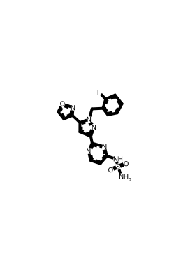 NS(=O)(=O)Nc1ccnc(-c2cc(-c3ccon3)n(Cc3ccccc3F)n2)n1